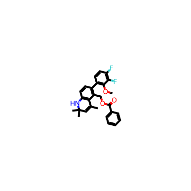 COc1c(-c2ccc3c(c2COC(=O)c2ccccc2)C(C)=CC(C)(C)N3)ccc(F)c1F